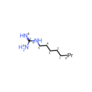 CC(C)CCCCCNC(=N)N